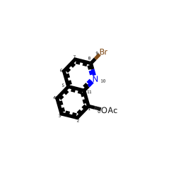 CC(=O)Oc1cccc2ccc(Br)nc12